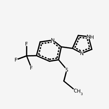 CCSc1cc(C(F)(F)F)cnc1-c1c[nH]cn1